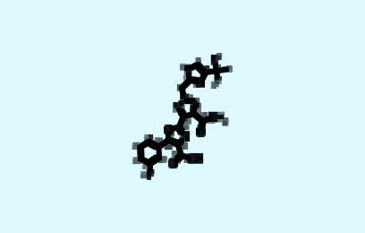 CC(F)(F)c1csc(Cn2nc(C(N)=O)c(-c3nc(C(=O)O)c(-c4cccc(F)c4)o3)n2)n1